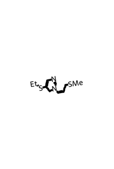 CCSC1=CN=CN(/C=C\CSC)C1